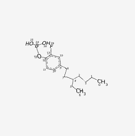 CCCCC(CC)CCc1ccc(OB(O)O)c(F)c1